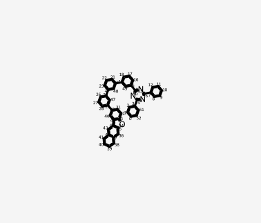 c1ccc(-c2nc(-c3ccccc3)nc(-c3cccc(-c4cccc(-c5cccc(-c6ccc7oc8cc9ccccc9cc8c7c6)c5)c4)c3)n2)cc1